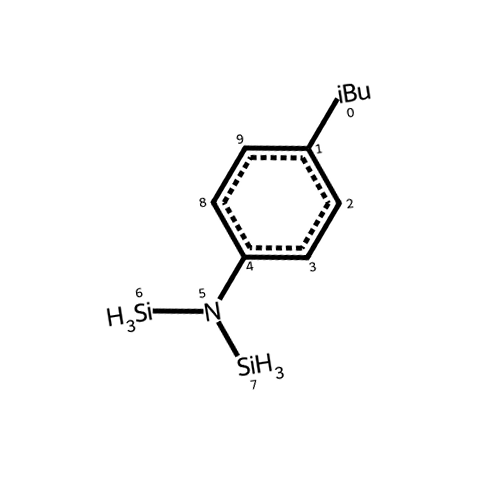 CCC(C)c1ccc(N([SiH3])[SiH3])cc1